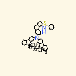 CC1(C)c2ccccc2-c2ccc(N(c3ccc4c(c3)C(C)(C)c3ccccc3-4)c3ccc4c(ccc5ccc6c(c54)NC(C4C=CC=CC4)S6)c3)cc21